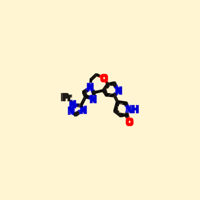 CC(C)n1ncnc1-c1cn2c(n1)-c1cc(-c3ccc(=O)[nH]c3)ncc1OCC2